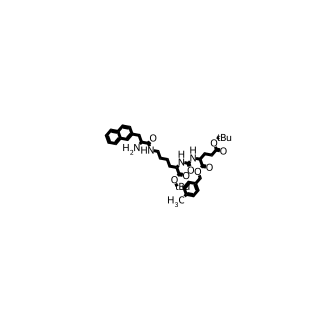 Cc1ccc(COC(=O)C(CCC(=O)OC(C)(C)C)NC(=O)NC(CCCCNC(=O)C(N)Cc2ccc3ccccc3c2)C(=O)OC(C)(C)C)cc1